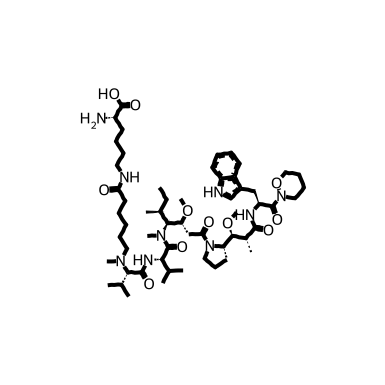 CC[C@H](C)[C@@H]([C@@H](CC(=O)N1CCC[C@H]1[C@H](OC)[C@@H](C)C(=O)N[C@@H](Cc1c[nH]c2ccccc12)C(=O)N1CCCCO1)OC)N(C)C(=O)[C@@H](NC(=O)[C@H](C(C)C)N(C)CCCCCC(=O)NCCCC[C@H](N)C(=O)O)C(C)C